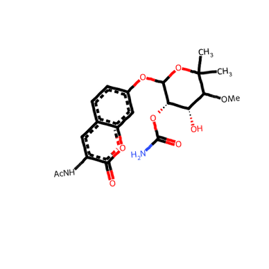 COC1[C@H](O)[C@H](OC(N)=O)C(Oc2ccc3cc(NC(C)=O)c(=O)oc3c2)OC1(C)C